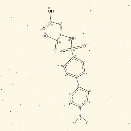 CN(C)c1ccc(-c2ccc(S(=O)(=O)N[C@@H](CC(=O)O)C(=O)O)cc2)cc1